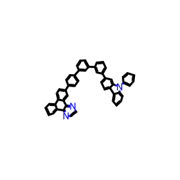 c1ccc(-n2c3ccccc3c3ccc(-c4cccc(-c5cccc(-c6ccc(-c7ccc8c9ccccc9c9nccnc9c8c7)cc6)c5)c4)cc32)cc1